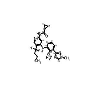 CCCC(F)(F)c1cnc(NC(=O)C2CC2)cc1Nc1cccc(-c2ncn(C)n2)c1OC